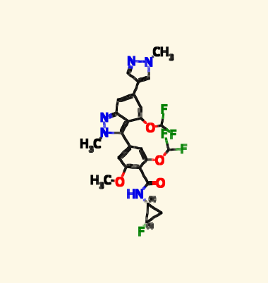 COc1cc(-c2c3c(OC(F)F)cc(-c4cnn(C)c4)cc3nn2C)cc(OC(F)F)c1C(=O)N[C@@H]1C[C@@H]1F